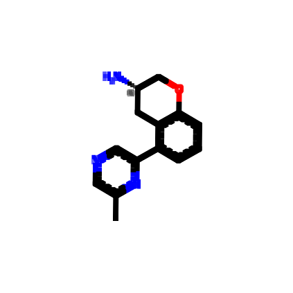 Cc1cncc(-c2cccc3c2C[C@H](N)CO3)n1